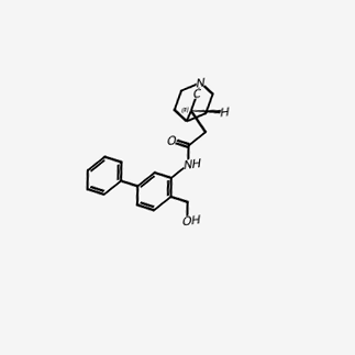 O=C(C[C@H]1CN2CCC1CC2)Nc1cc(-c2ccccc2)ccc1CO